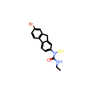 CCNC(=O)N(S)c1ccc2c(c1)Cc1cc(Br)ccc1-2